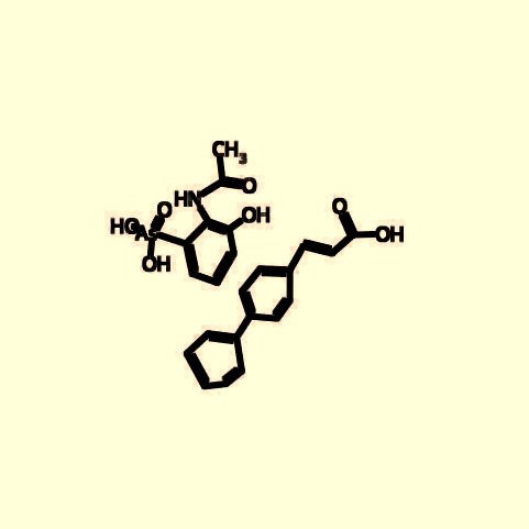 CC(=O)Nc1c(O)cccc1[As](=O)(O)O.O=C(O)C=Cc1ccc(-c2ccccc2)cc1